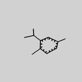 CCCC(C(=O)O)c1cc(F)ccc1Cl